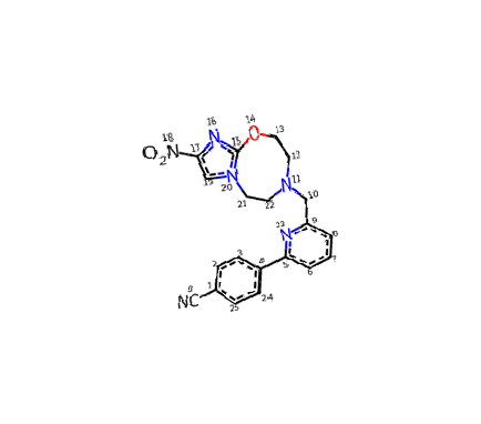 N#Cc1ccc(-c2cccc(CN3CCOc4nc([N+](=O)[O-])cn4CC3)n2)cc1